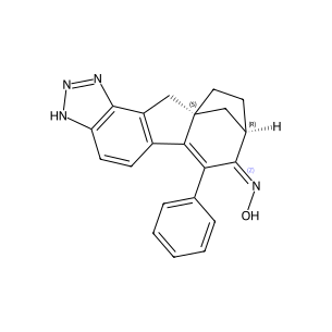 O/N=C1\C(c2ccccc2)=C2c3ccc4[nH]nnc4c3C[C@@]23CC[C@@H]1C3